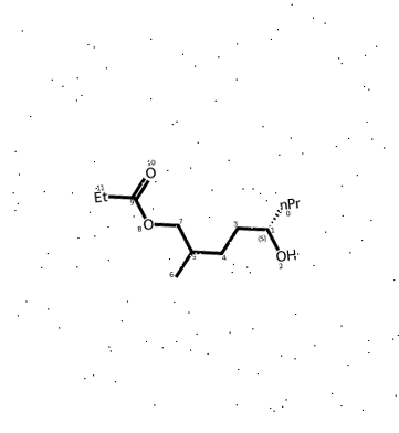 CCC[C@H](O)CCC(C)COC(=O)CC